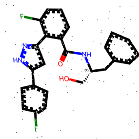 O=C(N[C@@H](CO)Cc1ccccc1)c1cccc(F)c1-c1cc(-c2ccc(F)cc2)[nH]n1